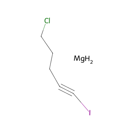 ClCCCC#CI.[MgH2]